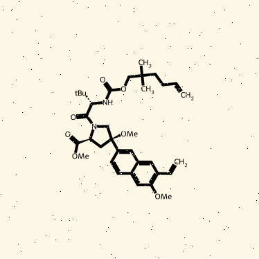 C=CCCC(C)(C)COC(=O)N[C@H](C(=O)N1C[C@](OC)(c2ccc3cc(OC)c(C=C)cc3c2)C[C@H]1C(=O)OC)C(C)(C)C